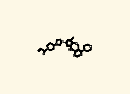 C=CC(=O)N1CCC(N2CC[C@H](c3cc(C)c4c(c3)Nc3ncnc(N5CCOCC5)c3CO4)C2)CC1